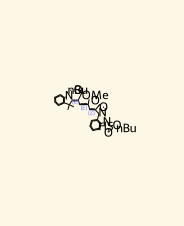 CCCCO[SH](=O)=Nc1ccccc1C1=NOC(=O)\C1=C/C(C)=C/C(C(=O)OC)=C1/N(CCCC)c2ccccc2C1(C)C